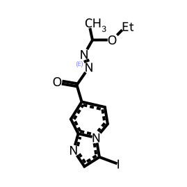 CCOC(C)/N=N/C(=O)c1ccn2c(I)cnc2c1